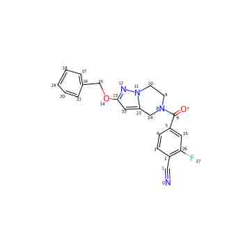 N#Cc1ccc(C(=O)N2CCn3nc(OCc4ccccc4)cc3C2)cc1F